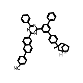 CC1(c2ccc(-c3cc(-c4ccccc4)cc(-c4nc(-c5ccccc5)nc(-c5ccc6cc(-c7ccc(C#N)cc7)ccc6c5)n4)c3)cc2)CC2CC[C@H](C2)C1